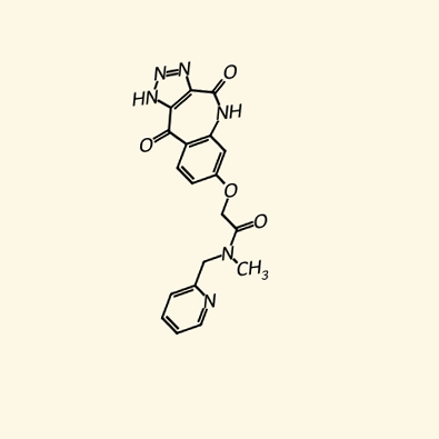 CN(Cc1ccccn1)C(=O)COc1ccc2c(=O)c3[nH]nnc3c(=O)[nH]c2c1